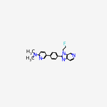 CN(C)c1ccc(-c2ccc(-c3nc4ccncc4n3CCF)cc2)cn1